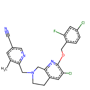 Cc1cc(C#N)cnc1CN1CCc2cc(Cl)c(OCc3ccc(Cl)cc3F)nc2C1